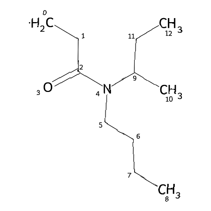 [CH2]CC(=O)N(CCCC)C(C)CC